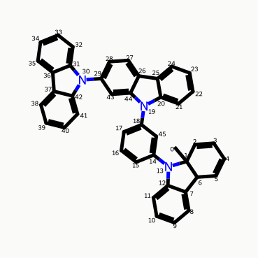 CC12C=CC=CC1c1ccccc1N2c1cccc(-n2c3ccccc3c3ccc(-n4c5ccccc5c5ccccc54)cc32)c1